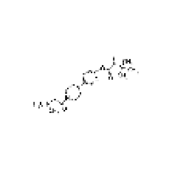 CN(C)CC(=O)N1CCC(c2ccc(OC(=O)NC(C)(C)C)cc2)CC1